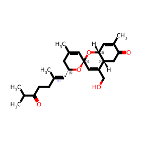 CC1=C[C@]2(C=C(CO)[C@H]3CC(=O)C(C)=C[C@H]3O2)O[C@H](/C=C(\C)CCC(=O)C(C)C)C1